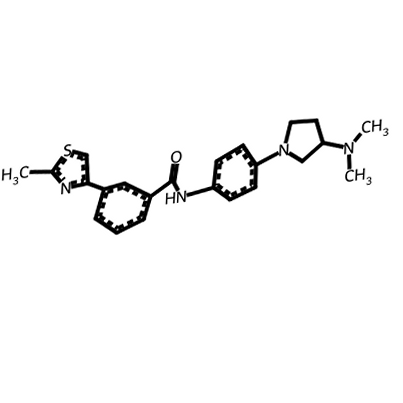 Cc1nc(-c2cccc(C(=O)Nc3ccc(N4CCC(N(C)C)C4)cc3)c2)cs1